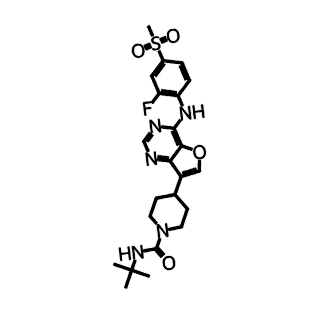 CC(C)(C)NC(=O)N1CCC(c2coc3c(Nc4ccc(S(C)(=O)=O)cc4F)ncnc23)CC1